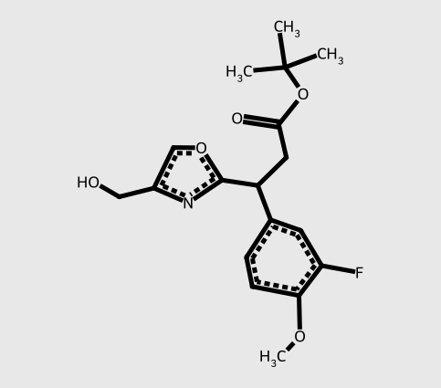 COc1ccc(C(CC(=O)OC(C)(C)C)c2nc(CO)co2)cc1F